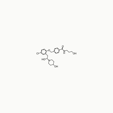 O=C(NCCCO)c1ccc(COc2ccc(Cl)cc2CC(O)N2CCC(O)CC2)cc1